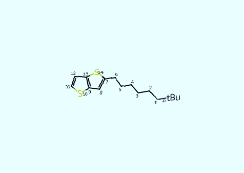 CC(C)(C)CCCCCCc1cc2sccc2s1